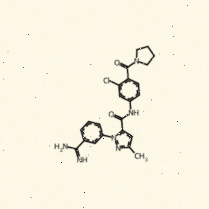 Cc1cc(C(=O)Nc2ccc(C(=O)N3CCCC3)c(Cl)c2)n(-c2cccc(C(=N)N)c2)n1